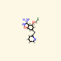 Nc1noc2cc(Cc3ccccn3)cc(OCF)c12